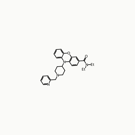 CCN(CC)C(=O)c1ccc2c(c1)Oc1ccccc1N2C1CCN(Cc2ccccn2)CC1